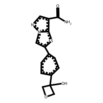 NC(=O)c1cnn2cc(-c3ccc(C4(O)COC4)cc3)sc12